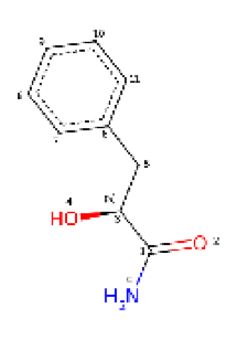 NC(=O)[C@@H](O)Cc1ccccc1